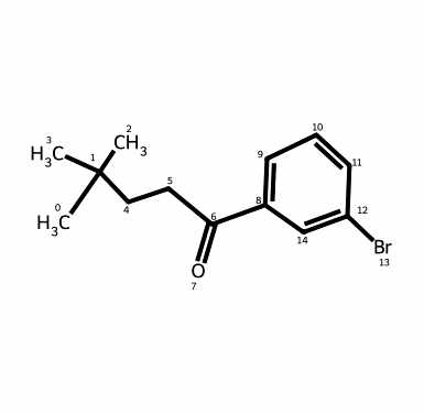 CC(C)(C)CCC(=O)c1cccc(Br)c1